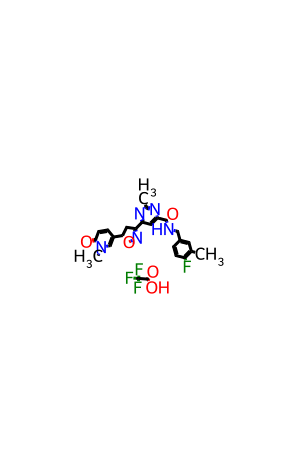 Cc1nc(C(=O)NCc2ccc(F)c(C)c2)cc(C2=NOC(c3ccc(=O)n(C)c3)C2)n1.O=C(O)C(F)(F)F